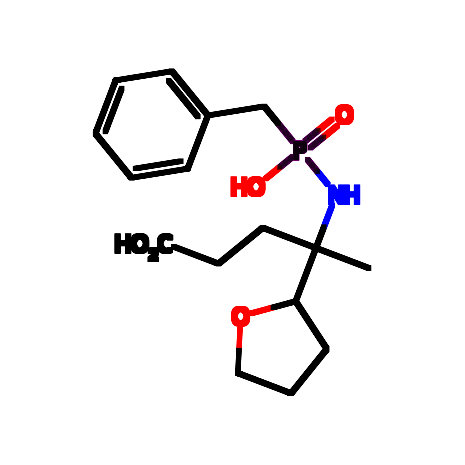 CC(CCC(=O)O)(NP(=O)(O)Cc1ccccc1)C1CCCO1